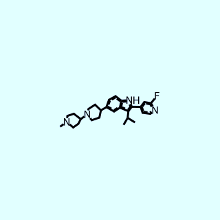 CC(C)c1c(-c2ccnc(F)c2)[nH]c2ccc(C3CCN(C4CCN(C)CC4)CC3)cc12